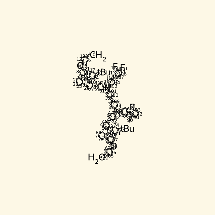 C=Cc1ccc(Oc2ccc(C3(c4ccc(C(C)(C)C)cc4)c4ccccc4-c4ccc(-c5ccc(N(c6ccc(-c7ccc(N(c8ccc(-c9ccc%10c(c9)C(c9ccc(Oc%11ccc(C=C)cc%11)cc9)(c9ccc(C(C)(C)C)cc9)c9ccccc9-%10)cc8)c8ccc(-c9c(F)cccc9F)cc8)cc7)cc6)c6ccc(-c7ccc(F)c(F)c7)cc6)cc5)cc43)cc2)cc1